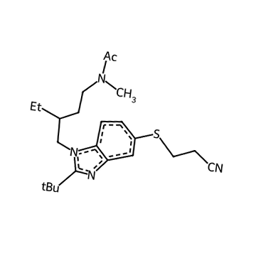 CCC(CCN(C)C(C)=O)Cn1c(C(C)(C)C)nc2cc(SCCC#N)ccc21